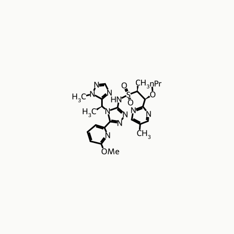 CCCO[C@@H](c1ncc(C)cn1)[C@H](C)S(=O)(=O)Nc1nnc(-c2cccc(OC)n2)n1[C@@H](C)c1ncnn1C